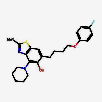 CNc1nc2c(N3CCCCC3)c(O)c(CCCCOc3ccc(F)cc3)cc2s1